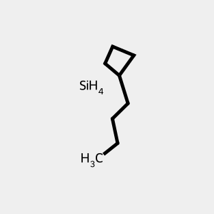 CCCCC1CCC1.[SiH4]